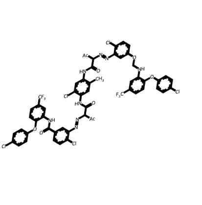 CC(=O)C(N=Nc1cc(OCNc2cc(C(F)(F)F)ccc2Oc2ccc(Cl)cc2)ccc1Cl)C(=O)Nc1cc(Cl)c(NC(=O)C(N=Nc2cc(C(=O)Nc3cc(C(F)(F)F)ccc3Oc3ccc(Cl)cc3)ccc2Cl)C(C)=O)cc1C